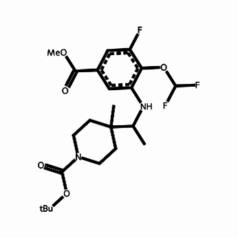 COC(=O)c1cc(F)c(OC(F)F)c(NC(C)C2(C)CCN(C(=O)OC(C)(C)C)CC2)c1